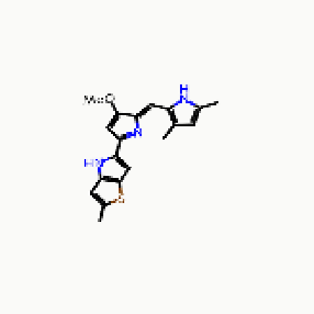 COC1=CC(c2cc3sc(C)cc3[nH]2)=N/C1=C\c1[nH]c(C)cc1C